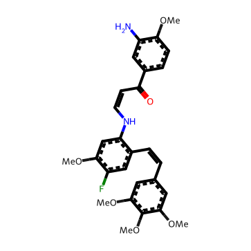 COc1ccc(C(=O)/C=C\Nc2cc(OC)c(F)cc2/C=C\c2cc(OC)c(OC)c(OC)c2)cc1N